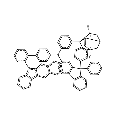 C1#C[C@H]2CC3C[C@H]1CC(c1cccc(N(c4ccc(-c5ccccc5-n5c6ccccc6c6cc7ccccc7cc65)cc4)c4ccc5c(c4)C(c4ccccc4)(c4ccccc4)c4ccccc4-5)c1)(C3)C2